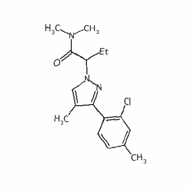 CCC(C(=O)N(C)C)n1cc(C)c(-c2ccc(C)cc2Cl)n1